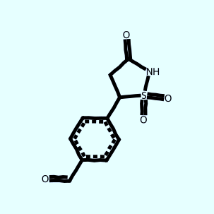 O=Cc1ccc(C2CC(=O)NS2(=O)=O)cc1